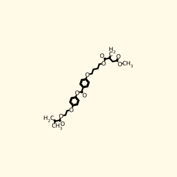 C=C(C)C(=O)OCCOc1ccc(OC(=O)c2ccc(OCCCCOC(=O)C(=C)CC(=O)OC)cc2)cc1